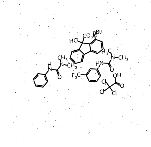 CCCCc1cccc2c1C(O)(C(=O)O)c1ccccc1-2.CN(C)C(=O)Nc1cccc(C(F)(F)F)c1.CN(C)C(=O)Nc1ccccc1.O=C(O)C(Cl)(Cl)Cl